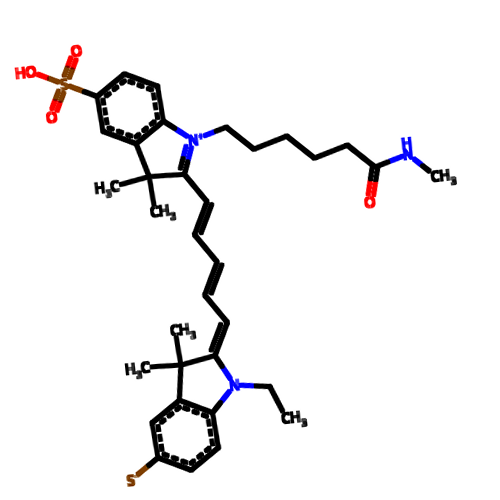 CCN1/C(=C/C=C/C=C/C2=[N+](CCCCCC(=O)NC)c3ccc(S(=O)(=O)O)cc3C2(C)C)C(C)(C)c2cc([S-])ccc21